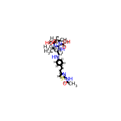 CC(=O)Nc1nc(CCc2ccc(NCCNC(N(C(=O)O)C(C)(C)C)N(C(=O)O)C(C)(C)C)cc2)cs1